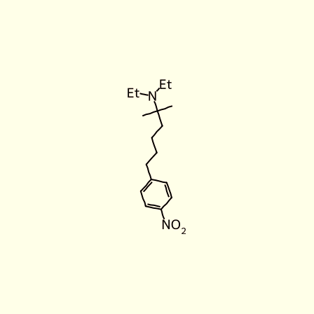 CCN(CC)C(C)(C)CCCCc1ccc([N+](=O)[O-])cc1